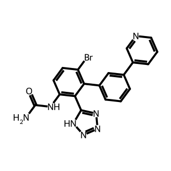 NC(=O)Nc1ccc(Br)c(-c2cccc(-c3cccnc3)c2)c1-c1nnn[nH]1